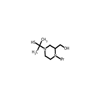 CC(C)N1CCN(C(C)(C)S)CC1CO